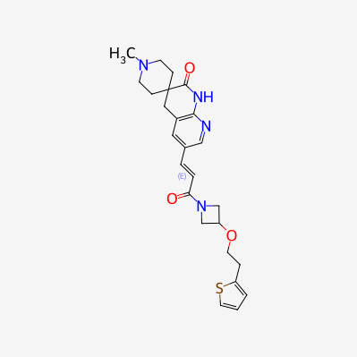 CN1CCC2(CC1)Cc1cc(/C=C/C(=O)N3CC(OCCc4cccs4)C3)cnc1NC2=O